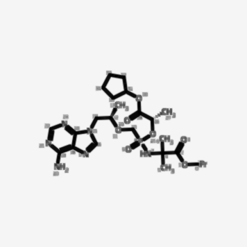 CC(C)OC(=O)C(C)(C)NP(=O)(CO[C@H](C)Cn1cnc2c(N)ncnc21)O[C@@H](C)C(=O)OC1CCCC1